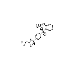 COc1ccccc1S(=O)(=O)c1ccc(-c2noc(C(F)(F)F)n2)cc1